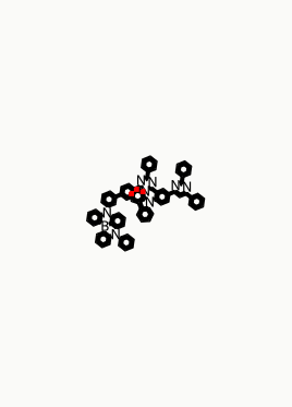 c1ccc(-c2cc(-c3ccc(-n4c5ccccc5c5ccccc54)c(-c4nc(-c5ccccc5)nc(-c5ccc(-c6cccc(N7c8ccccc8B8c9ccccc9N(c9ccccc9)c9cccc7c98)c6)cc5)n4)c3)nc(-c3ccccc3)n2)cc1